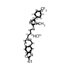 CCc1nc2cc3c(cc2o1)CCN(CCCSc1nnc(-c2ccc(C(F)(F)F)cc2)n1C)CC3.Cl